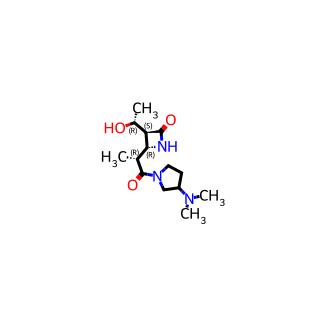 C[C@@H](O)[C@H]1C(=O)N[C@@H]1[C@@H](C)C(=O)N1CCC(N(C)C)C1